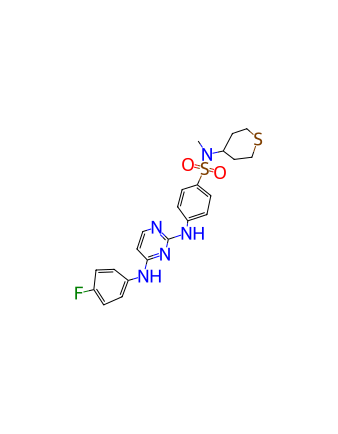 CN(C1CCSCC1)S(=O)(=O)c1ccc(Nc2nccc(Nc3ccc(F)cc3)n2)cc1